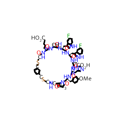 COc1ccc(C[C@@H]2NC(=O)[C@H](Cc3cnc[nH]3)NC(=O)[C@H](CC(=O)O)NC(=O)[C@H](Cc3c[nH]c4ccc(F)cc34)NC(=O)[C@H](Cc3c[nH]c4ccc(F)cc34)NC(=O)[C@@H](C)NC(=O)[C@H](CCCCC(=O)O)NC(=O)CCSCc3cccc(c3)CSCCNCC(=O)[C@]3(C)CCCN3C2=O)cc1